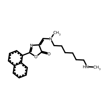 CNCCCCCCN(C)C=C1N=C(c2cccc3ccccc23)OC1=O